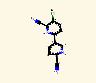 N#Cc1ccc(-c2ccc(Cl)c(C#N)n2)cn1